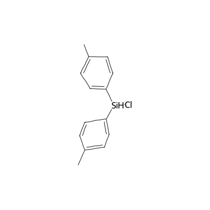 Cc1ccc([SiH](Cl)c2ccc(C)cc2)cc1